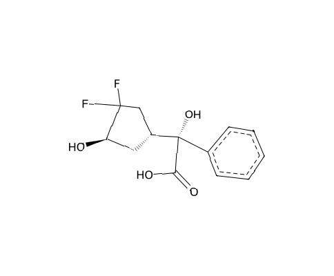 O=C(O)[C@](O)(c1ccccc1)[C@@H]1C[C@@H](O)C(F)(F)C1